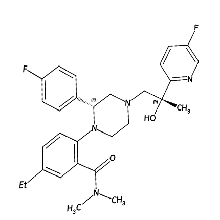 CCc1ccc(N2CCN(C[C@@](C)(O)c3ccc(F)cn3)C[C@H]2c2ccc(F)cc2)c(C(=O)N(C)C)c1